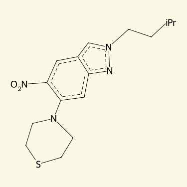 CC(C)CCn1cc2cc([N+](=O)[O-])c(N3CCSCC3)cc2n1